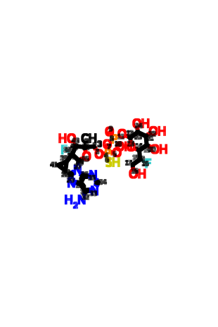 C[C@]1(COP(=O)(S)OP(=O)(O)OC2OC([C@@H](F)CO)C(O)C(O)C2O)O[C@@H](n2cnc3c(N)ncnc32)[C@@](F)(C2CC2)[C@@H]1O